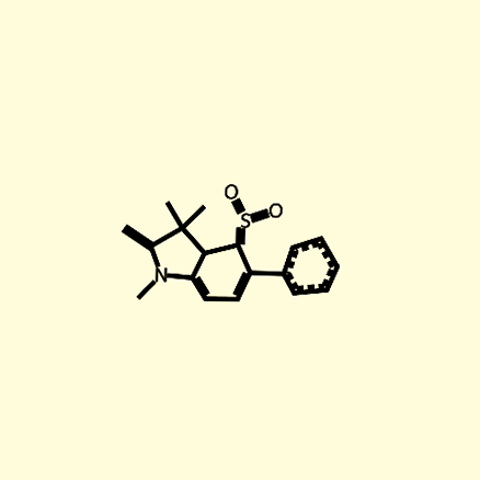 C=C1N(C)C2=CC=C(c3ccccc3)C(=S(=O)=O)C2C1(C)C